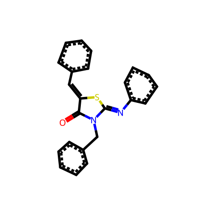 O=C1/C(=C/c2ccccc2)S/C(=N\c2ccccc2)N1Cc1ccccc1